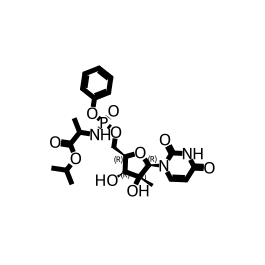 CC(C)OC(=O)C(C)NP(=O)(OC[C@H]1O[C@@H](n2ccc(=O)[nH]c2=O)[C@](C)(O)[C@@H]1O)Oc1ccccc1